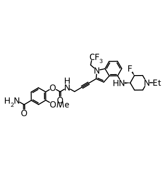 CCN1CC[C@@H](Nc2cccc3c2cc(C#CCNC(=O)Oc2ccc(C(N)=O)cc2OC)n3CC(F)(F)F)[C@@H](F)C1